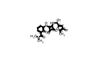 CC[C@@H](Nc1c(Nc2cccc(C(=O)N(C)C)c2O)c(=O)c1=O)c1cc(Br)c(C)o1